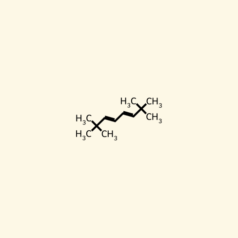 CC(C)(C)C=C/C=C/C(C)(C)C